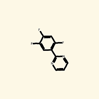 Fc1cc(F)c(-c2ncccn2)cc1F